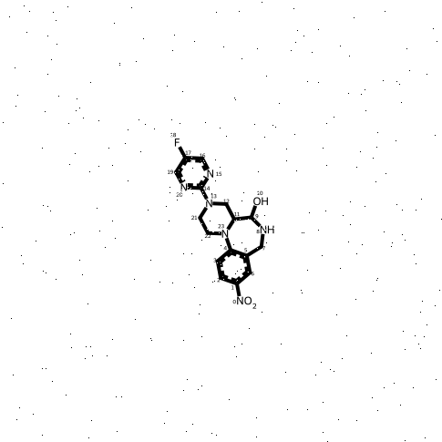 O=[N+]([O-])c1ccc2c(c1)CNC(O)C1CN(c3ncc(F)cn3)CCN21